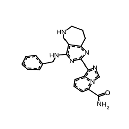 NC(=O)c1cccc2c(-c3nc4c(c(NCc5ccccc5)n3)CNCCC4)ncn12